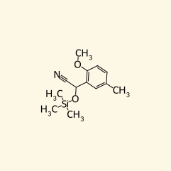 COc1ccc(C)cc1C(C#N)O[Si](C)(C)C